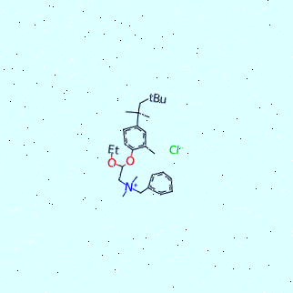 CCOC(C[N+](C)(C)Cc1ccccc1)Oc1ccc(C(C)(C)CC(C)(C)C)cc1C.[Cl-]